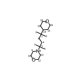 CC(C)(CCC(C)(C)N1CCOCC1)C1CCOCC1